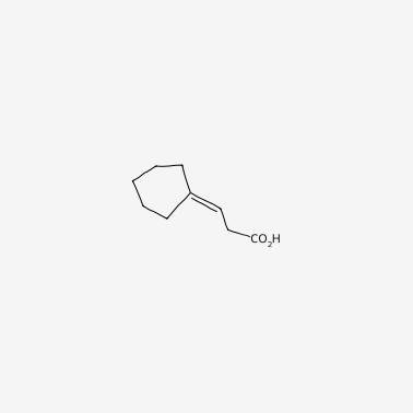 O=C(O)CC=C1CCCCC1